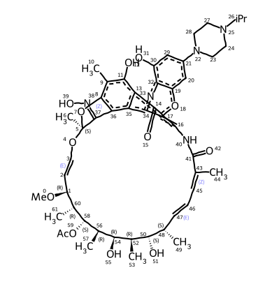 CO[C@H]1/C=C/O[C@@]2(C)Oc3c(C)c(O)c4c(=O)c(c5oc6cc(N7CCN(C(C)C)CC7)cc(O)c6nc-5c4c3/C2=N/O)NC(=O)/C(C)=C\C=C\[C@H](C)[C@H](O)[C@@H](C)[C@@H](O)[C@@H](C)[C@H](OC(C)=O)[C@@H]1C